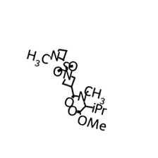 COC(=O)C(C(C)C)N(C)C(=O)C1CN(S(=O)(=O)[C@@H]2CCN2C)C1